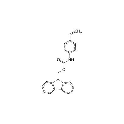 C=Cc1ccc(NC(=O)OCC2c3ccccc3-c3ccccc32)cc1